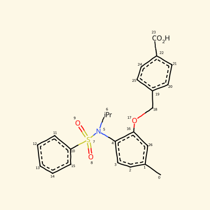 Cc1ccc(N(C(C)C)S(=O)(=O)c2ccccc2)c(OCc2ccc(C(=O)O)cc2)c1